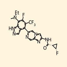 CCN(C)c1c(F)c(C(F)(F)F)c(-c2cn3cc(NC(=O)[C@@H]4C[C@@H]4F)nc3cn2)c2cn[nH]c12